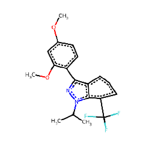 COc1ccc(-c2nn(C(C)C)c3c(C(F)(F)F)cccc23)c(OC)c1